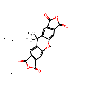 O=C1OC(=O)c2cc3c(cc21)Oc1cc2c(cc1C3(C(F)(F)F)C(F)(F)F)C(=O)OC2=O